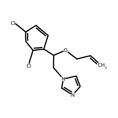 C=CCOC(Cn1ccnc1)c1ccc(Cl)cc1Cl